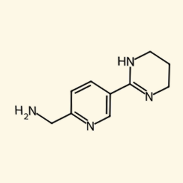 NCc1ccc(C2=NCCCN2)cn1